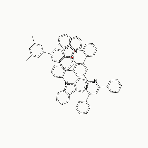 Cc1cc(C)cc(-c2ccc3c(c2)c2ccccc2n3-c2c(-c3ccccc3-n3c4ccccc4c4ccccc43)cc(-c3nc(-c4ccccc4)cc(-c4ccccc4)n3)cc2-c2ccccc2-n2c3ccccc3c3ccccc32)c1